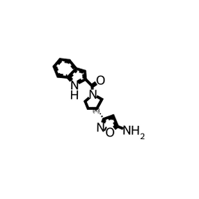 Nc1cc([C@@H]2CCN(C(=O)c3cc4ccccc4[nH]3)C2)no1